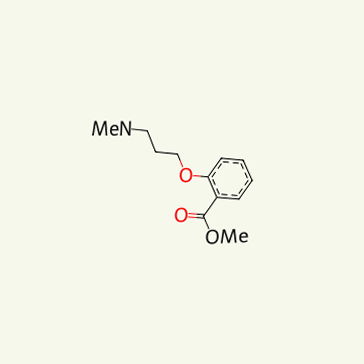 CNCCCOc1ccccc1C(=O)OC